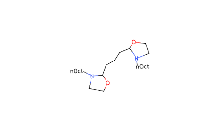 CCCCCCCCN1CCOC1CCCC1OCCN1CCCCCCCC